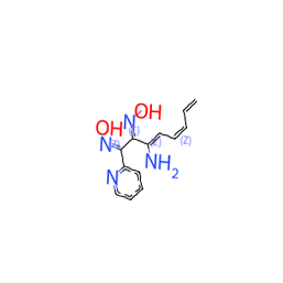 C=C\C=C/C=C(N)/C(=N\O)C(=N\O)/c1ccccn1